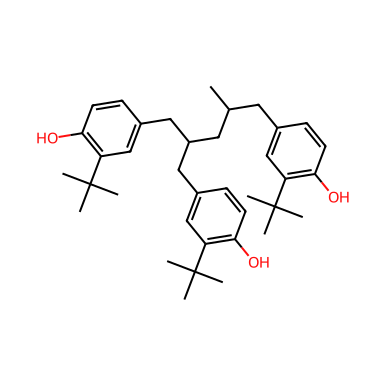 CC(Cc1ccc(O)c(C(C)(C)C)c1)CC(Cc1ccc(O)c(C(C)(C)C)c1)Cc1ccc(O)c(C(C)(C)C)c1